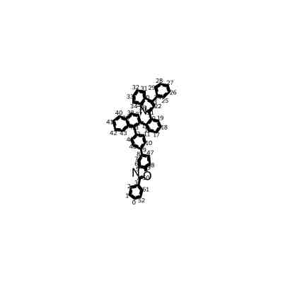 c1ccc(-c2nc3cc(-c4ccc(-c5c(-c6ccccc6-c6cc(-c7ccccc7)c7ccccc7n6)ccc6ccccc56)cc4)ccc3o2)cc1